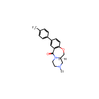 CCN1CCN2C(=O)c3cc(-c4ccc(C(F)(F)F)cc4)ccc3OC[C@H]2C1